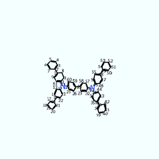 C1=C(c2ccccc2)CCC(N(c2ccc(-c3ccccc3)cc2)c2ccc(-c3ccc(N(c4ccc(-c5ccccc5)cc4)c4ccc(-c5ccccc5)cc4)cc3)cc2)=C1